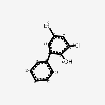 CCc1cc(Cl)c(O)c(-c2ccccc2)c1